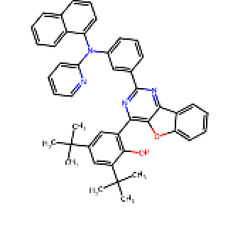 CC(C)(C)c1cc(-c2nc(-c3cccc(N(c4ccccn4)c4cccc5ccccc45)c3)nc3c2oc2ccccc23)c(O)c(C(C)(C)C)c1